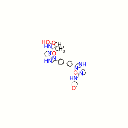 CC(C)[C@H](NC(=O)O)C(=O)N1CCC[C@H]1c1nc(-c2ccc(-c3ccc(-c4c[nH]c([C@@H]5CCCN5C(=O)CNC5CCOCC5)n4)cc3)cc2)c[nH]1